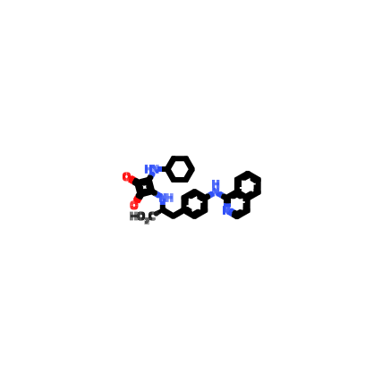 O=C(O)[C@H](Cc1ccc(Nc2nccc3ccccc23)cc1)Nc1c(NC2CCCCC2)c(=O)c1=O